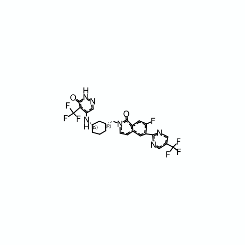 O=c1[nH]ncc(N[C@H]2CCC[C@@H](Cn3ccc4cc(-c5ncc(C(F)(F)F)cn5)c(F)cc4c3=O)C2)c1C(F)(F)F